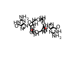 Nc1nc2c(ncn2[C@@H]2O[C@@H]3COP(=O)(S)O[C@@H]4[C@@H](F)[C@@H](COP(=O)(S)O[C@@H]2[C@H]3F)O[C@H]4n2cnc3c(=O)[nH]c(N)nc32)c(=O)[nH]1